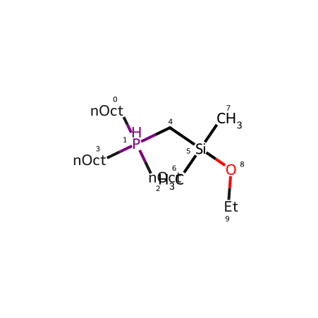 CCCCCCCC[PH](CCCCCCCC)(CCCCCCCC)C[Si](C)(C)OCC